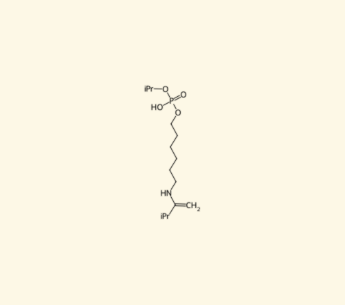 C=C(NCCCCCCOP(=O)(O)OC(C)C)C(C)C